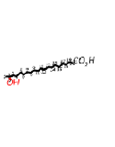 C/C(O)=C/CCCCCCCCCCCCCCCCCC(=O)O